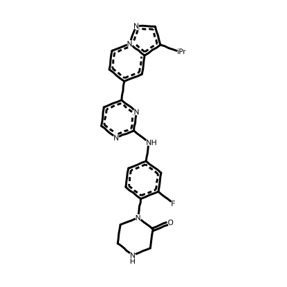 CC(C)c1cnn2ccc(-c3ccnc(Nc4ccc(N5CCNCC5=O)c(F)c4)n3)cc12